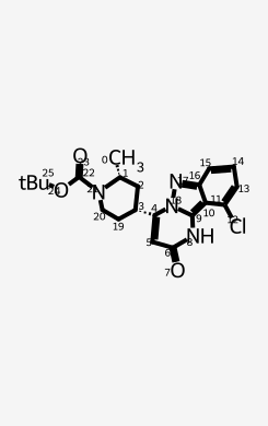 C[C@@H]1C[C@H](c2cc(=O)[nH]c3c4c(Cl)cccc4nn23)CCN1C(=O)OC(C)(C)C